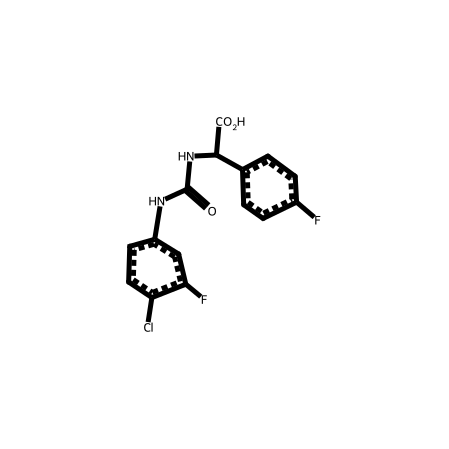 O=C(Nc1ccc(Cl)c(F)c1)NC(C(=O)O)c1ccc(F)cc1